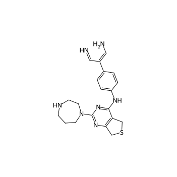 N=C/C(=C\N)c1ccc(Nc2nc(N3CCCNCC3)nc3c2CSC3)cc1